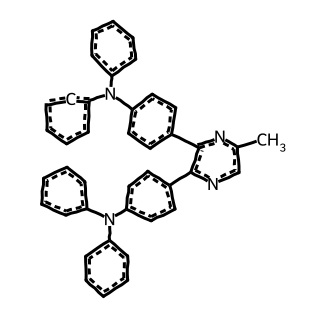 Cc1cnc(-c2ccc(N(c3ccccc3)c3ccccc3)cc2)c(-c2ccc(N(c3ccccc3)c3ccccc3)cc2)n1